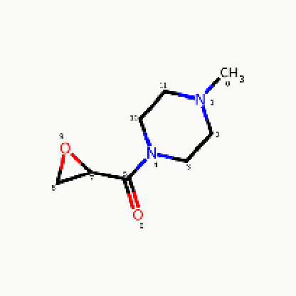 CN1CCN(C(=O)C2CO2)CC1